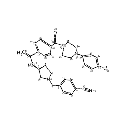 C=C(N[C@H]1CCN(Cc2ccc(C#N)cc2)C1)c1ccc(C(=O)N2CCN(c3ccc(Cl)cc3)CC2)cn1